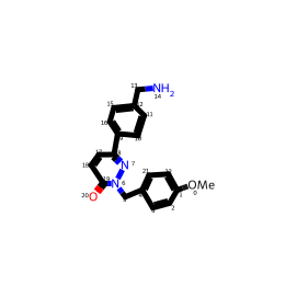 COc1ccc(Cn2nc(-c3ccc(CN)cc3)ccc2=O)cc1